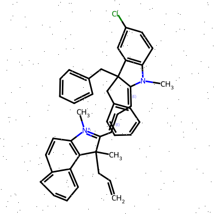 C=CCC1(C)C(/C=C/C=C2/N(C)c3ccc(Cl)cc3C2(Cc2ccccc2)Cc2ccccc2)=[N+](C)c2ccc3ccccc3c21